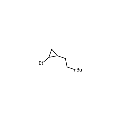 [CH2]CCCCCC1CC1CC